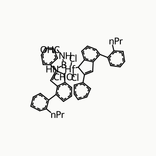 CCCc1ccccc1-c1cccc2c1C=C(c1ccccc1)[CH]2[Hf]([Cl])([Cl])([B](NC=O)NC=O)[CH]1C(c2ccccc2)=Cc2c(-c3ccccc3CCC)cccc21